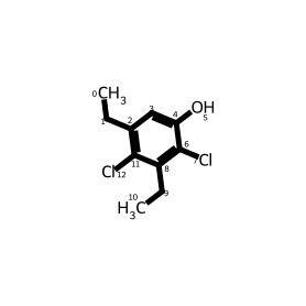 CCc1cc(O)c(Cl)c(CC)c1Cl